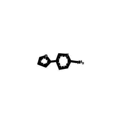 Nc1ccc(-c2ccco2)cn1